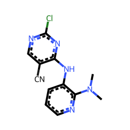 CN(C)c1ncccc1Nc1nc(Cl)ncc1C#N